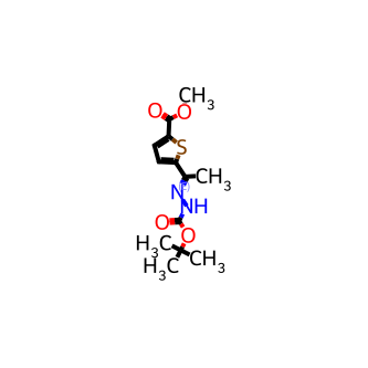 COC(=O)c1ccc(/C(C)=N/NC(=O)OC(C)(C)C)s1